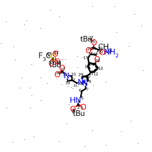 CC(C)(C)OC(=O)NCCCn1cc(-c2ccc3c(c2)CC[C@H](C(C)(ON)C(=O)OC(C)(C)C)O3)c[n+]1CC1CN(C(=O)OC(C)(C)C)C1.O=S(=O)([O-])C(F)(F)F